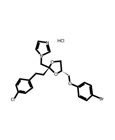 Cl.Clc1ccc(CC[C@@]2(Cn3ccnc3)OC[C@H](COc3ccc(Br)cc3)O2)cc1